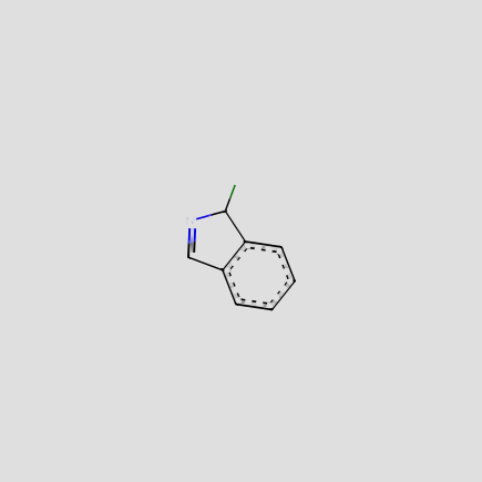 ClC1N=Cc2ccccc21